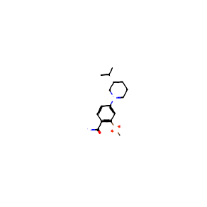 CC(C)[C@H]1CCCN(c2ccc(C(N)=O)c(S(C)(=O)=O)c2)C1